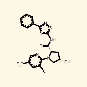 O=C(Nc1nc(-c2ccccc2)ns1)[C@@H]1C[C@H](O)CN1c1ncc(C(F)(F)F)cc1Cl